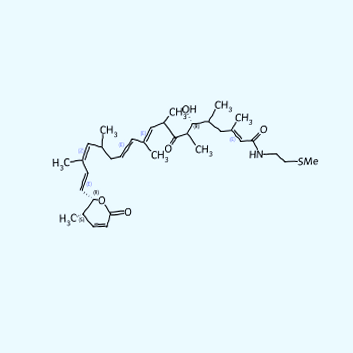 CSCCNC(=O)/C=C(\C)CC(C)[C@@H](O)C(C)C(=O)C(C)/C=C(C)/C=C/CC(C)/C=C(C)\C=C\[C@@H]1OC(=O)C=C[C@@H]1C